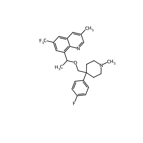 Cc1cnc2c(C(C)OCC3(c4ccc(F)cc4)CCN(C)CC3)cc(C(F)(F)F)cc2c1